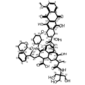 COc1cccc2c1C(=O)c1c(O)c3c(c(O)c1C2=O)C[C@@](O)(C(=O)CO)C[C@@H]3O[C@@H]1CC[C@@H](O[C@@H]2CCCCO2)[C@](C)(NC(=O)C(CC(C)c2ccccc2)C(C(=O)O)C(CC(C(=O)O)C(C)C(=O)NC(CO)(CO)CO)c2ccccc2)C1